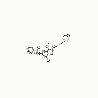 COc1c(OCCCN2CCOCC2)ccc2c(=O)n(C)c(NC(=O)c3ccnnc3)nc12